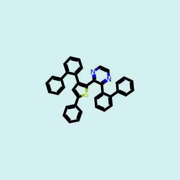 c1ccc(-c2cc(-c3ccccc3-c3ccccc3)c(-c3nccnc3-c3ccccc3-c3ccccc3)s2)cc1